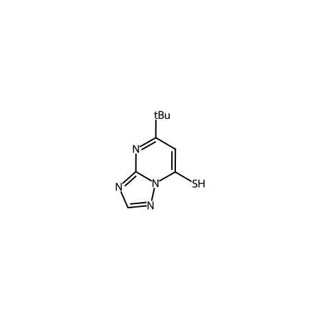 CC(C)(C)c1cc(S)n2ncnc2n1